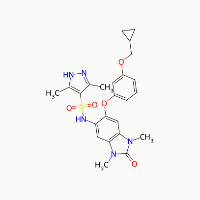 Cc1n[nH]c(C)c1S(=O)(=O)Nc1cc2c(cc1Oc1cccc(OCC3CC3)c1)n(C)c(=O)n2C